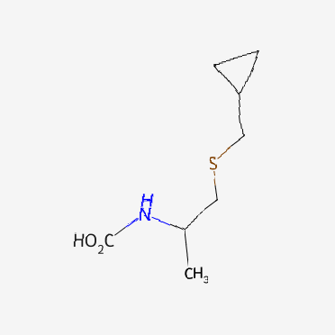 CC(CSCC1CC1)NC(=O)O